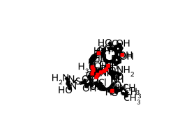 CN[C@@H](CC(C)C)C(=O)N[C@H]1C(=O)N[C@@H](CC(N)=O)C(=O)N[C@H]2C(=O)N[C@H]3C(=O)N[C@H](C(=O)N[C@@H](C(=O)O)c4cc(O)cc(O)c4-c4cc3ccc4O)[C@H](O)c3ccc(c(Cl)c3)Oc3cc2cc(c3OC2OC(CSc3nc(N)cc(O)n3)C(O)C(O)C2OC2CC(C)(N)C(O)C(C)O2)Oc2ccc(cc2Cl)[C@H]1O